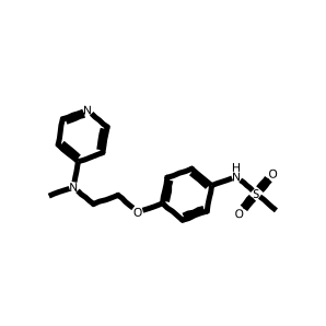 CN(CCOc1ccc(NS(C)(=O)=O)cc1)c1ccncc1